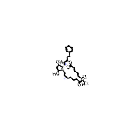 CCNC(=O)CCC/C=C\C[C@@H]1[C@@H](/C=C/C(CCc2ccccc2)OC(=O)CCCCCCl)[C@H](O)C[C@@H]1O